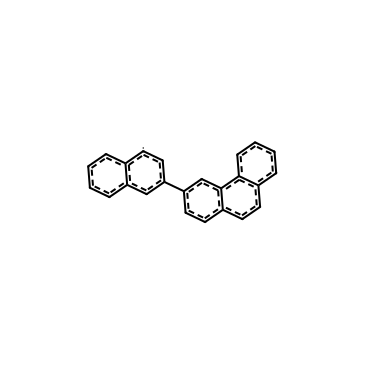 [c]1cc(-c2ccc3ccc4ccccc4c3c2)cc2ccccc12